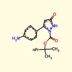 CCCC(C)(C)OC(=O)n1[nH]c(=O)cc1-c1ccc(N)cc1